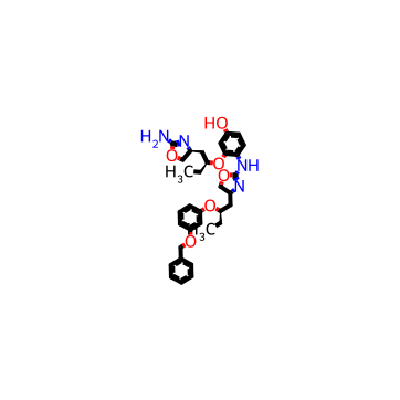 CC[C@H](CC1COC(Nc2ccc(O)cc2O[C@@H](CC)C[C@H]2COC(N)=N2)=N1)Oc1cccc(OCc2ccccc2)c1